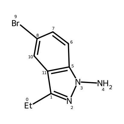 CCc1nn(N)c2ccc(Br)cc12